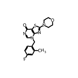 Cc1cc(F)ccc1Cn1cnc(=O)c2sc(N3CCOCC3)nc21